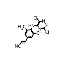 Cc1cc(/C=C/C#N)cc(C)c1Nc1nc(Cl)nnc1Cl